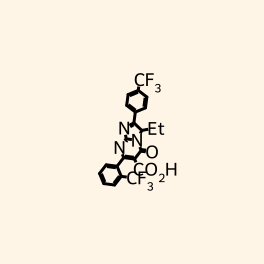 CCC1C(c2ccc(C(F)(F)F)cc2)=Nc2nc(-c3ccccc3C(F)(F)F)c(C(=O)O)c(=O)n21